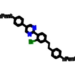 CCCCCc1ccc(CCc2ccc(-c3ncc(-c4ccc(CCCCC)cc4)cn3)c(Br)c2)cc1